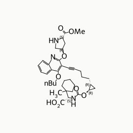 CCCCOc1c(C#CCCC[C@@H]2C[C@H]2OC(=O)N[C@H](C(=O)O)C2(C)CCCCC2)c(O[C@H]2CN[C@H](C(=O)OC)C2)nc2ccccc12